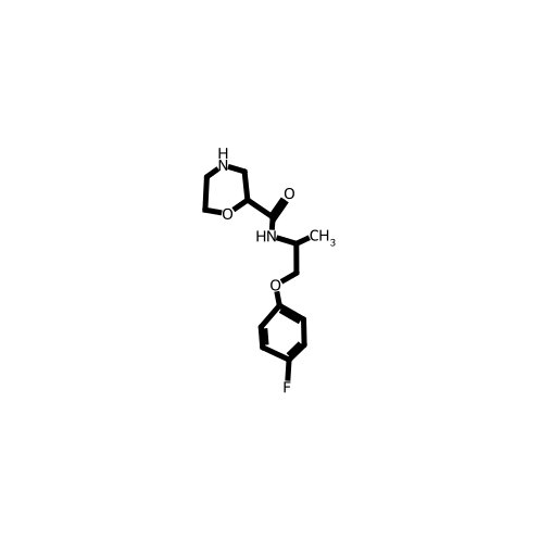 CC(COc1ccc(F)cc1)NC(=O)C1CNCCO1